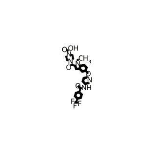 CCn1c(C(=O)N2CCN(C(=O)O)CC2)cc2cc(Oc3ccc(NC(=O)c4ccc(C(F)(F)F)cc4)cn3)ccc21